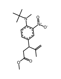 C=C(C)C(CC(=O)OC)c1ccc(N(C)C(C)(C)C)c([N+](=O)[O-])c1